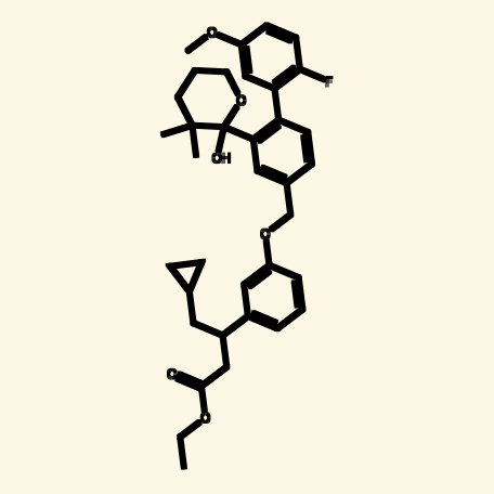 CCOC(=O)CC(CC1CC1)c1cccc(OCc2ccc(-c3cc(OC)ccc3F)c(C3(O)OCCCC3(C)C)c2)c1